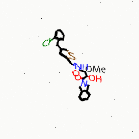 CO[C@@H](C(=O)NCC1=CC(Cc2ccccc2Cl)CS1)[C@@H](O)C(=O)N1Cc2ccccc2C1